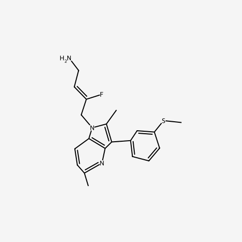 CSc1cccc(-c2c(C)n(C/C(F)=C/CN)c3ccc(C)nc23)c1